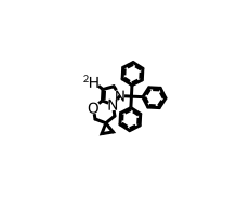 [2H]C1=C2OCC3(CC3)CN2N(C(c2ccccc2)(c2ccccc2)c2ccccc2)C1